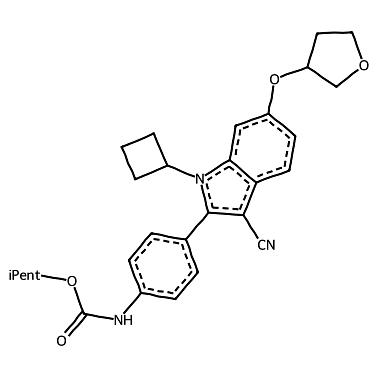 CCCC(C)OC(=O)Nc1ccc(-c2c(C#N)c3ccc(OC4CCOC4)cc3n2C2CCC2)cc1